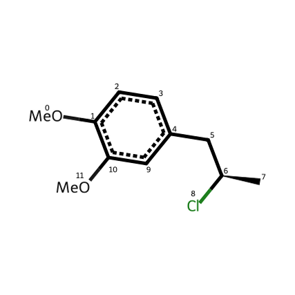 COc1ccc(C[C@@H](C)Cl)cc1OC